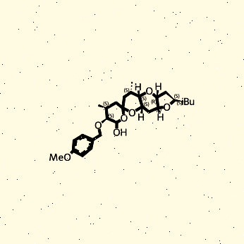 CC[C@H](C)[C@@H]1C[C@H]2O[C@@H]3[C@H](C[C@H]2O1)OC1(C[C@@H]3C)C[C@H](C)[C@H](OCc2ccc(OC)cc2)C(O)O1